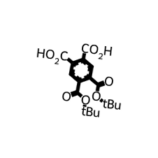 CC(C)(C)OC(=O)c1cc(C(=O)O)c(C(=O)O)cc1C(=O)OC(C)(C)C